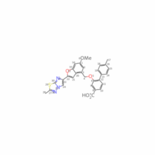 COc1cc(COc2cc(C(=O)O)ccc2-c2ccc(C)cc2)c2cc(-c3cn4nc(C)sc4n3)oc2c1